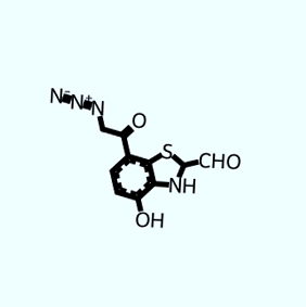 [N-]=[N+]=NCC(=O)c1ccc(O)c2c1SC(C=O)N2